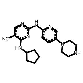 N#Cc1cnc(Nc2ccc(N3CCNCC3)cn2)nc1NC1CCCC1